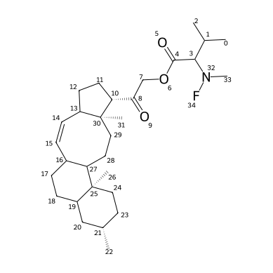 CC(C)C(C(=O)OCC(=O)[C@H]1CCC2C=CC3CCC4C[C@@H](C)CC[C@]4(C)C3CC[C@@]21C)N(C)F